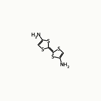 NC1=CSC(=C2SC=C(N)S2)S1